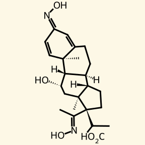 C/C(=N\O)[C@@]1(C(C)C(=O)O)CC[C@H]2[C@@H]3CCC4=CC(=NO)C=C[C@]4(C)[C@H]3[C@@H](O)C[C@@]21C